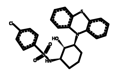 O=S(=O)(N[C@@H]1CCC[C@H](N2c3ccccc3Sc3ccccc32)[C@H]1O)c1ccc(Cl)cc1